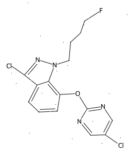 FCCCCn1nc(Cl)c2cccc(Oc3ncc(Cl)cn3)c21